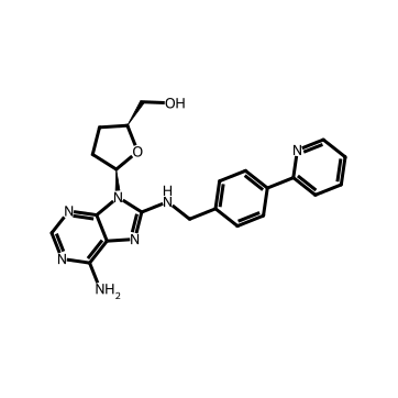 Nc1ncnc2c1nc(NCc1ccc(-c3ccccn3)cc1)n2[C@H]1CC[C@@H](CO)O1